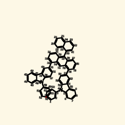 c1ccc(-n2c3ccccc3c3cc(-c4cccc5c(-c6cccc7ccccc67)c6cccc(-c7ccc8c(c7)c7ccccc7n8-c7ccccc7)c6cc45)ccc32)cc1